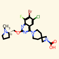 CN1CCC[C@H]1COc1nc(N2CCC3(CC2)CN(C(=O)O)C3)c2cc(Cl)c(Br)c(F)c2n1